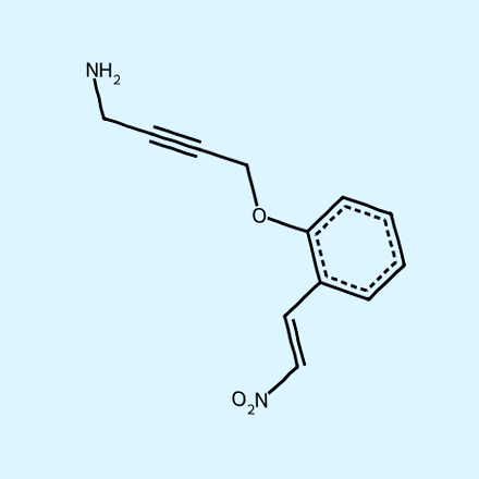 NCC#CCOc1ccccc1C=C[N+](=O)[O-]